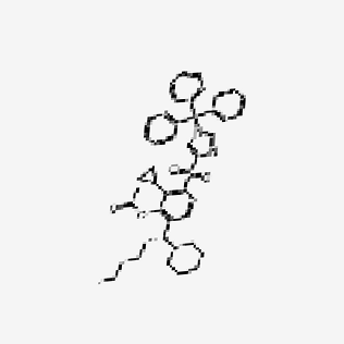 CCCCC[C@H](c1ccc(S(=O)(=O)c2cn(C(c3ccccc3)(c3ccccc3)c3ccccc3)cn2)c(C2CC2)c1OC(C)=O)C1CCCCC1